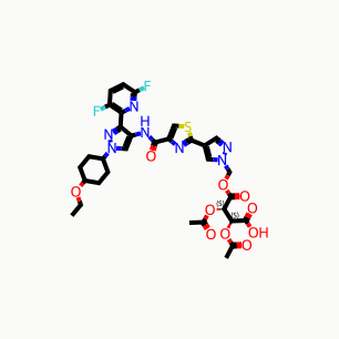 CCOC1CCC(n2cc(NC(=O)c3csc(-c4cnn(COC(=O)[C@@H](OC(C)=O)[C@H](OC(C)=O)C(=O)O)c4)n3)c(-c3nc(F)ccc3F)n2)CC1